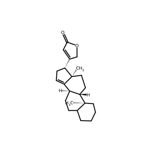 C[C@]12CC[C@H]3[C@@H](CCC4CCCC[C@@]43C)C1=CC[C@@H]2C1=CC(=O)OC1